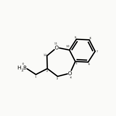 BCC1COc2ccccc2OC1